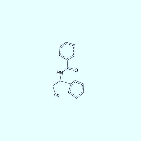 CC(=O)CC(NC(=O)c1ccccc1)c1ccccc1